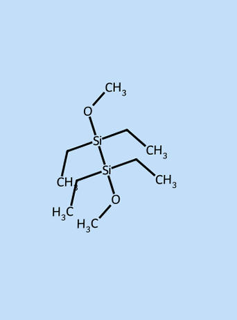 CC[Si](CC)(OC)[Si](CC)(CC)OC